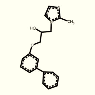 Cc1nccn1CC(O)COc1cccc(-c2ccccc2)c1